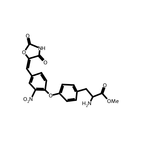 COC(=O)C(N)Cc1ccc(Oc2ccc(C=C3OC(=O)NC3=O)cc2[N+](=O)[O-])cc1